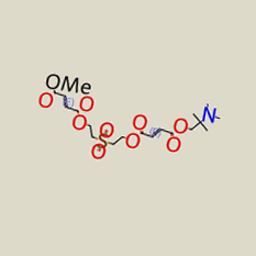 COC(=O)/C=C/C(=O)OCCS(=O)(=O)CCOC(=O)/C=C/C(=O)OCC(C)(C)N(C)C